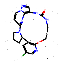 O=C1NCCCOc2ncc(F)cc2C2CCCN2c2ccn3ncc(c3n2)N1